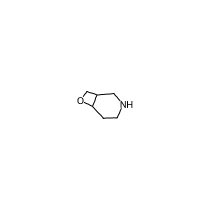 C1CC2OCC2CN1